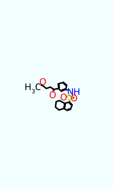 CC(=O)CCC(=O)c1cccc(NS(=O)(=O)c2cccc3c2CCCC3)c1